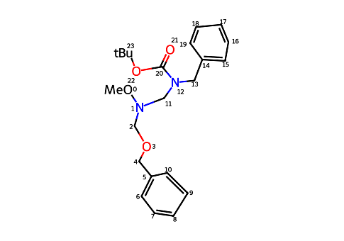 CON(COCc1ccccc1)CN(Cc1ccccc1)C(=O)OC(C)(C)C